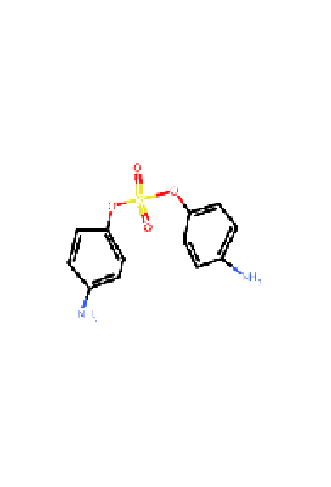 Nc1ccc(OS(=O)(=O)Oc2ccc(N)cc2)cc1